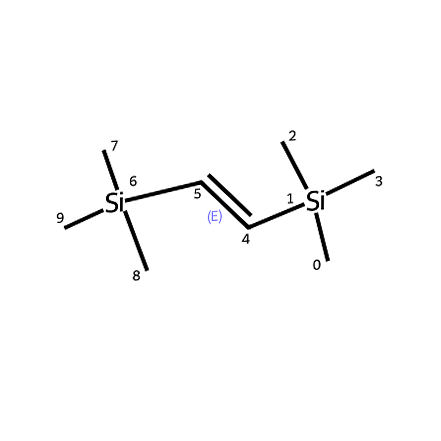 C[Si](C)(C)/C=C/[Si](C)(C)C